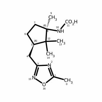 Cc1nc(C[C@H]2CC[C@@](C)(NC(=O)O)C2(C)C)no1